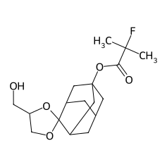 CC(C)(F)C(=O)OC12CC3CC(C1)C1(OCC(CO)O1)C(C3)C2